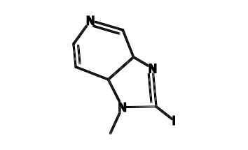 CN1C(I)=NC2C=NC=CC21